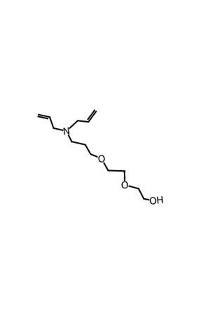 C=CCN(CC=C)CCCOCCOCCO